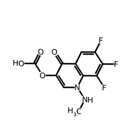 CNn1cc(OC(=O)O)c(=O)c2cc(F)c(F)c(F)c21